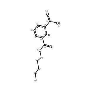 C[CH]CCCOC(=O)c1cccc(C(=O)O)c1